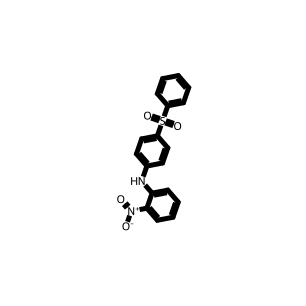 O=[N+]([O-])c1ccccc1Nc1ccc(S(=O)(=O)c2ccccc2)cc1